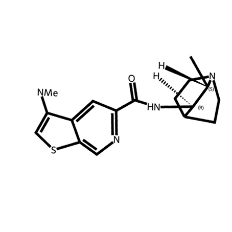 CNc1csc2cnc(C(=O)N[C@@H]3C4CCN(CC4)[C@H]3C)cc12